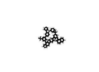 CC(C)(C)c1cc(-c2ccc3c(c2)c2ccccc2n3-c2ccccc2)c2c(c1)c1c3ccccc3cc3c4cc5c(nc4n2c31)c1cc(C(C)(C)C)cc2c3c4ccccc4ccc3n5c12